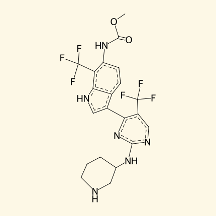 COC(=O)Nc1ccc2c(-c3nc(NC4CCCNC4)ncc3C(F)(F)F)c[nH]c2c1C(F)(F)F